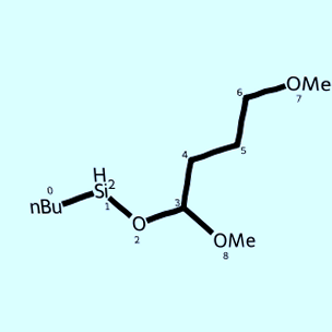 CCCC[SiH2]OC(CCCOC)OC